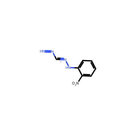 N=N/C=N/Nc1ccccc1[N+](=O)[O-]